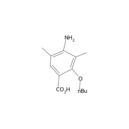 CCCCOc1c(C(=O)O)cc(C)c(N)c1C